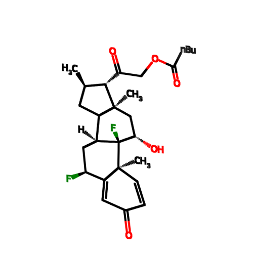 CCCCC(=O)OCC(=O)[C@H]1[C@H](C)CC2[C@@H]3C[C@H](F)C4=CC(=O)C=C[C@]4(C)[C@@]3(F)[C@@H](O)C[C@@]21C